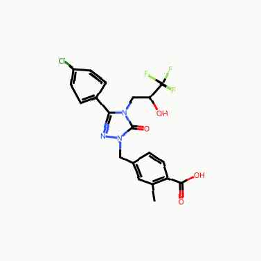 Cc1cc(Cn2nc(-c3ccc(Cl)cc3)n(CC(O)C(F)(F)F)c2=O)ccc1C(=O)O